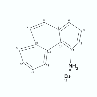 Nc1cccc2ccc3ccccc3c12.[Eu]